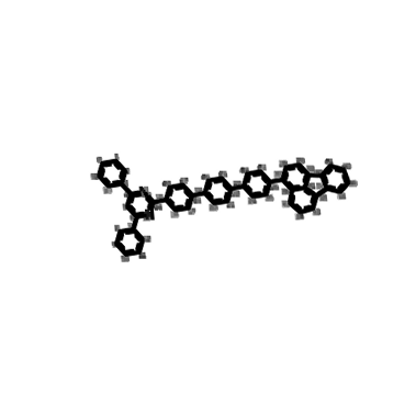 c1ccc(-c2cc(-c3ccccc3)nc(-c3ccc(-c4ccc(-c5ccc(-c6ccc7c8c(cccc68)-c6ccccc6-7)cc5)cc4)cc3)n2)cc1